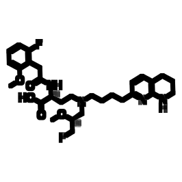 COc1cccc(F)c1CC(=O)N[C@@H](CCN(CCCCc1ccc2c(n1)NCCC2)C[C@@H](CF)OC)C(=O)O